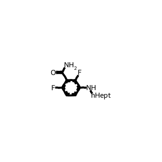 CCCCCCCNc1ccc(F)c(C(N)=O)c1F